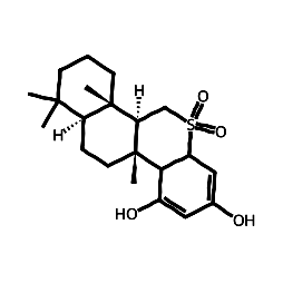 CC1(C)CCC[C@]2(C)[C@H]3CS(=O)(=O)C4C=C(O)C=C(O)C4[C@]3(C)CC[C@@H]12